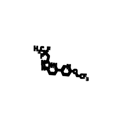 CC(F)(F)Cc1nnc2ccc(-c3ccc(OCC(F)(F)F)nc3)nn12